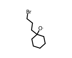 [O]C1(CCCBr)CCCCC1